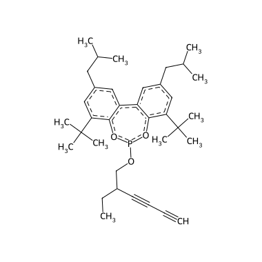 C#CC#CC(CC)COp1oc2c(C(C)(C)C)cc(CC(C)C)cc2c2cc(CC(C)C)cc(C(C)(C)C)c2o1